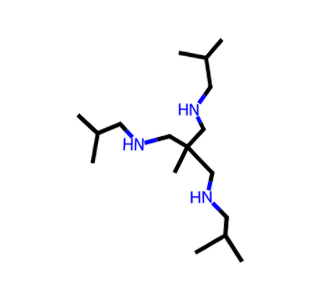 CC(C)CNCC(C)(CNCC(C)C)CNCC(C)C